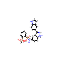 CS(=O)(=O)c1ccccc1S(=O)(=O)Nc1ccc2[nH]nc(-c3ccc4[nH]ccc4c3)c2c1